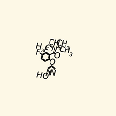 CC(C)N(C(=O)c1c(Oc2cnn(O)c2)ccc(F)c1F)C(C)C